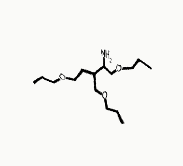 CCCOCCC(COCCC)C(N)COCCC